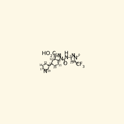 Cn1nc(NC(=O)n2nc(C(=O)O)c3cc(-c4cccnc4)ccc32)cc1C(F)(F)F